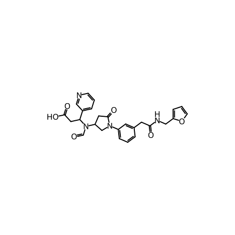 O=CN(C1CC(=O)N(c2cccc(CC(=O)NCc3ccco3)c2)C1)C(CC(=O)O)c1cccnc1